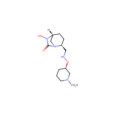 O=C(O)N1CCC[C@@H](ONC[C@@H]2CC[C@@H]3CN2C(=O)N3O)C1